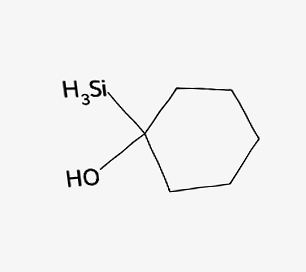 OC1([SiH3])CCCCC1